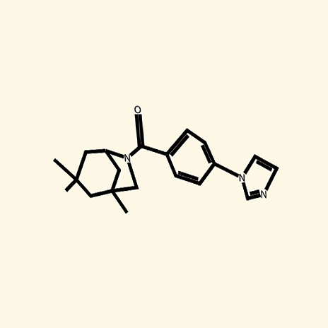 CC1(C)CC2CC(C)(CN2C(=O)c2ccc(-n3ccnc3)cc2)C1